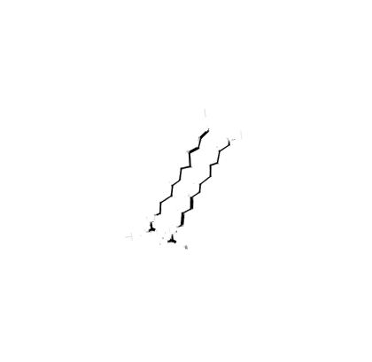 CC=CC=CCCCCCCCOC(C)=O.CCCCCCCCC=CC=COC(C)=O